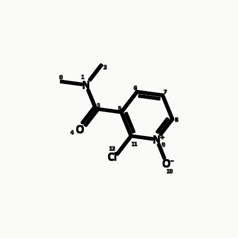 CN(C)C(=O)c1ccc[n+]([O-])c1Cl